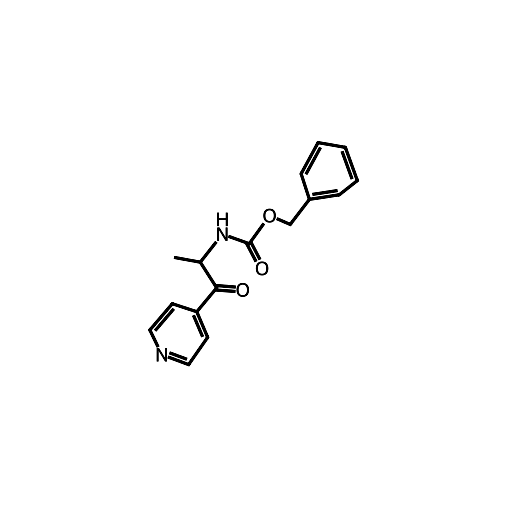 CC(NC(=O)OCc1ccccc1)C(=O)c1ccncc1